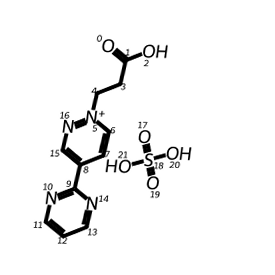 O=C(O)CC[n+]1ccc(-c2ncccn2)cn1.O=S(=O)(O)O